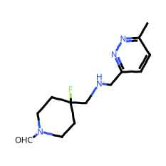 Cc1ccc(CNCC2(F)CCN(C=O)CC2)nn1